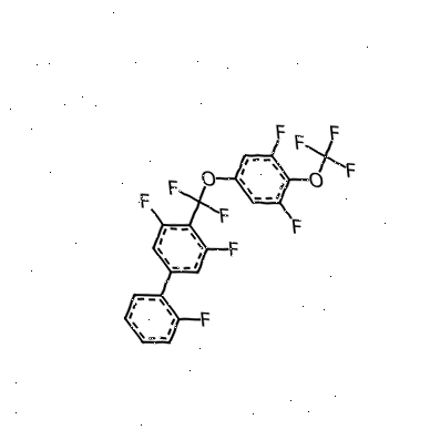 Fc1ccccc1-c1cc(F)c(C(F)(F)Oc2cc(F)c(OC(F)(F)F)c(F)c2)c(F)c1